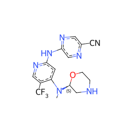 CN(c1cc(Nc2cnc(C#N)cn2)ncc1C(F)(F)F)[C@@H]1CNCCO1